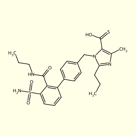 CCCNC(=O)c1c(-c2ccc(Cn3c(CCC)nc(C)c3C(O)=S)cc2)cccc1S(N)(=O)=O